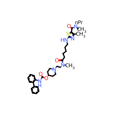 CCCN(C)C(=O)c1sc(NCCCCCC(=O)N(C)CCN2CCC(OC(=O)Nc3ccccc3-c3ccccc3)CC2)nc1C